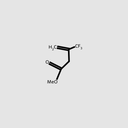 C=C(CC(=O)OC)C(F)(F)F